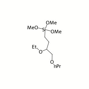 CCCOCC(CC[Si](OC)(OC)OC)OCC